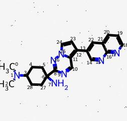 CN(C)C1CCC(N)(c2ncc3c(-c4cnc5ncccc5c4)ccn3n2)CC1